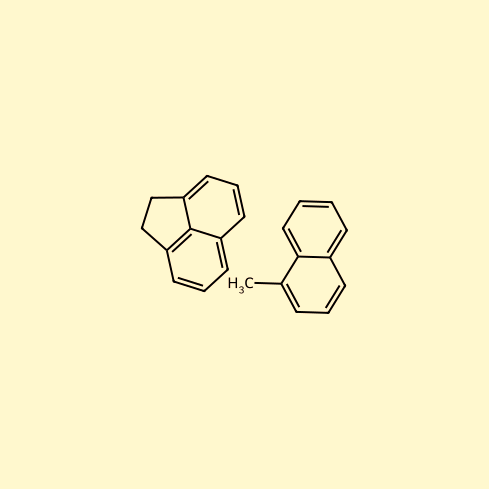 Cc1cccc2ccccc12.c1cc2c3c(cccc3c1)CC2